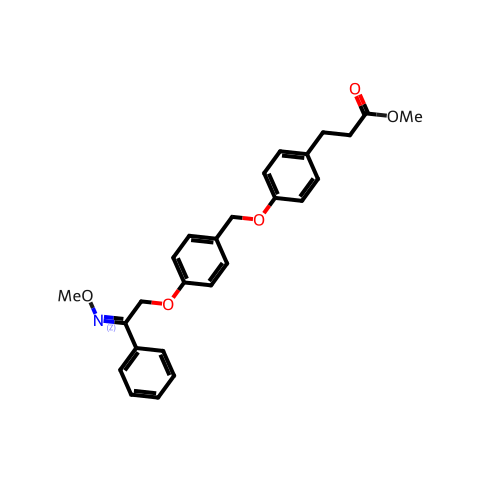 CO/N=C(\COc1ccc(COc2ccc(CCC(=O)OC)cc2)cc1)c1ccccc1